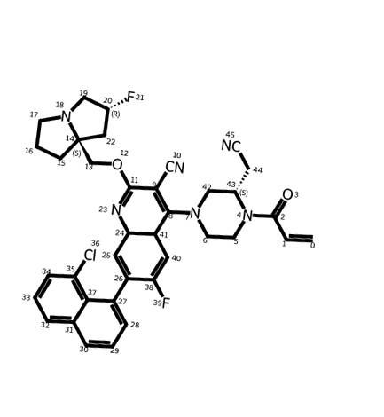 C=CC(=O)N1CCN(C2=C(C#N)C(OC[C@@]34CCCN3C[C@H](F)C4)=NC3C=C(c4cccc5cccc(Cl)c45)C(F)=CC23)C[C@@H]1CC#N